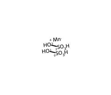 O=S(=O)(O)O.O=S(=O)(O)O.[Mn]